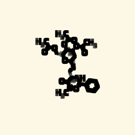 COC(=O)[C@H](CS[C@@H]1C[C@@H](OC(C)=O)[C@H](OC(C)=O)[C@@H](COC(C)=O)O1)NC(=O)c1ccccc1